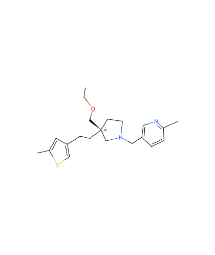 CCOC[C@@]1(CCc2csc(C)c2)CCN(Cc2ccc(C)nc2)C1